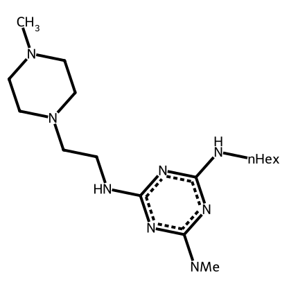 CCCCCCNc1nc(NC)nc(NCCN2CCN(C)CC2)n1